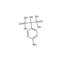 Nc1ccc(C(O)(P(=O)(O)O)P(=O)(O)O)cc1